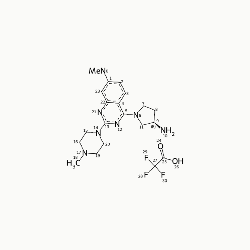 CNc1ccc2c(N3CC[C@@H](N)C3)nc(N3CCN(C)CC3)nc2c1.O=C(O)C(F)(F)F